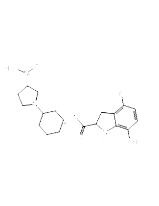 CC(=O)N(C)[C@H]1CCN(C2CCC[C@@H](NC(=O)C3Cc4c(F)ccc(C)c4N3)C2)C1